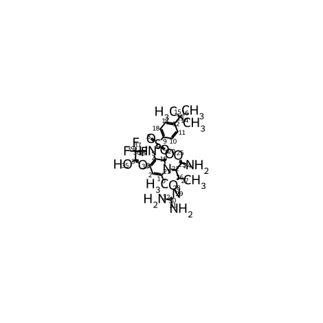 Cc1ccc(NS(=O)(=O)c2ccc(C(C)(C)C)cc2)c(=O)n1C(C(N)=O)C(C)ON=C(N)N.O=C(O)C(F)(F)F